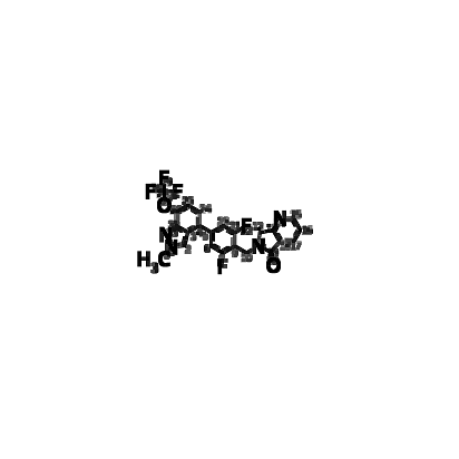 Cn1cc2c(-c3cc(F)c(CN4Cc5ncccc5C4=O)c(F)c3)ccc(OC(F)(F)F)c2n1